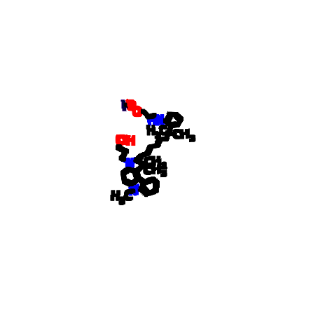 Cn1c2ccccc2c2c3c(ccc21)N(CCCO)/C(=C/C=C/C=C/CC(C)(C)c1ccccc1NCCCOOI)C3(C)C